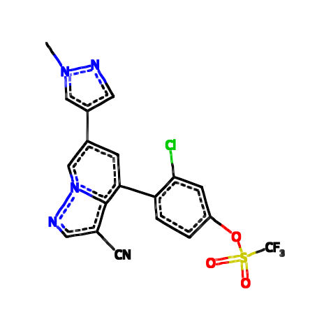 Cn1cc(-c2cc(-c3ccc(OS(=O)(=O)C(F)(F)F)cc3Cl)c3c(C#N)cnn3c2)cn1